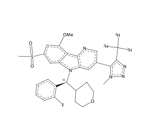 [2H]C([2H])([2H])c1nnn(C)c1-c1cnc2c3c(OC)cc(S(C)(=O)=O)cc3n([C@H](c3ccccc3F)C3CCOCC3)c2c1